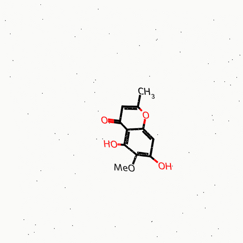 COc1c(O)cc2oc(C)cc(=O)c2c1O